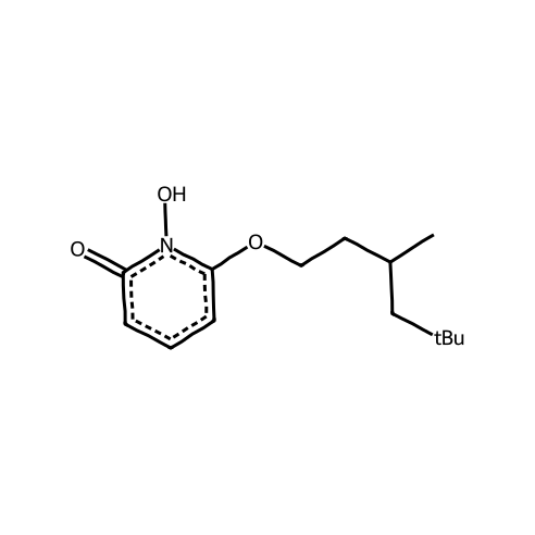 CC(CCOc1cccc(=O)n1O)CC(C)(C)C